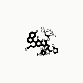 CC(CN(C)C)Oc1nc2c(F)c(-c3cccc4ccc(F)cc34)c(CCC#N)cc2c2c1cc(CN1CCCC1=O)n2[C@H]1[C@H]2CN[C@@H]1C2